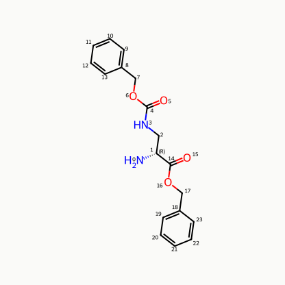 N[C@H](CNC(=O)OCc1ccccc1)C(=O)OCc1ccccc1